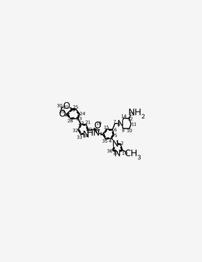 Cc1cn(-c2cc(CN3CCCC(N)C3)cc(NC(=O)c3cc(-c4ccc5c(c4)OCO5)ccn3)c2)cn1